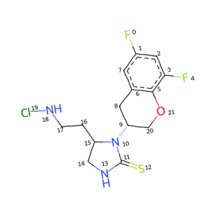 Fc1cc(F)c2c(c1)C[C@@H](N1C(=S)NCC1CCNCl)CO2